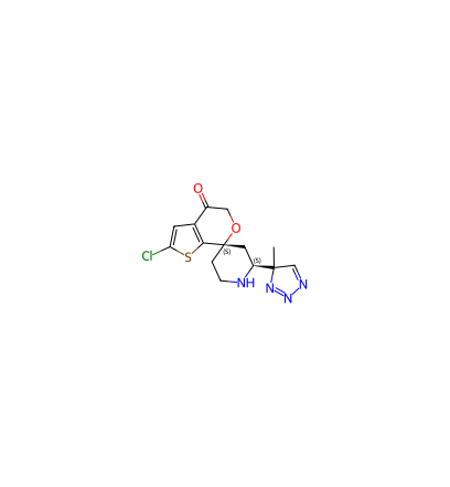 CC1([C@@H]2C[C@]3(CCN2)OCC(=O)c2cc(Cl)sc23)C=NN=N1